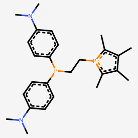 Cc1c(C)c(C)p(CCP(c2ccc(N(C)C)cc2)c2ccc(N(C)C)cc2)c1C